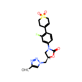 O=Cc1cn(C[C@H]2CN(c3ccc(C4=CCS(=O)(=O)CC4)c(F)c3)C(=O)O2)nn1